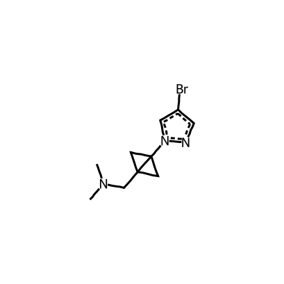 CN(C)CC12CC1(n1cc(Br)cn1)C2